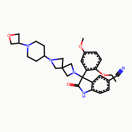 CCOc1ccc(OC)cc1C1(N2CC3(CN(C4CCN(C5COC5)CC4)C3)C2)C(=O)Nc2ccc(C#N)cc21